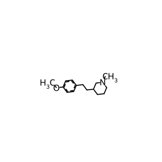 COc1ccc(CCC2CCCN(C)C2)cc1